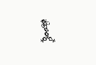 CC(C)(C)c1ccc(N(c2ccc(-c3ccc(C=C4C(=O)c5nccnc5C4=O)s3)cc2)c2ccc(C(C)(C)C)cc2)cc1